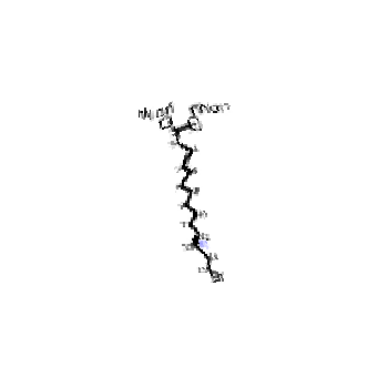 CCCCCCCCCOC(CCCCCCCCC/C=C/CCBr)OCCCCCCCCC